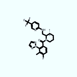 Cc1c(F)ccc(C(=O)N2CCC[C@@H](C)C2CNc2ccc(C(F)(F)F)cn2)c1-n1nccn1